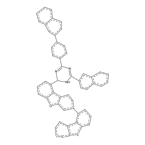 c1ccc2cc(C3=NC(c4ccc(-c5ccc6ccccc6c5)cc4)=NC(c4cccc5oc6cc(-c7cccc8sc9ccccc9c78)ccc6c45)N3)ccc2c1